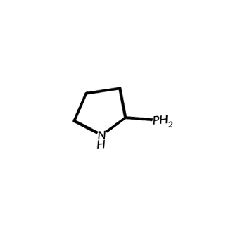 PC1CCCN1